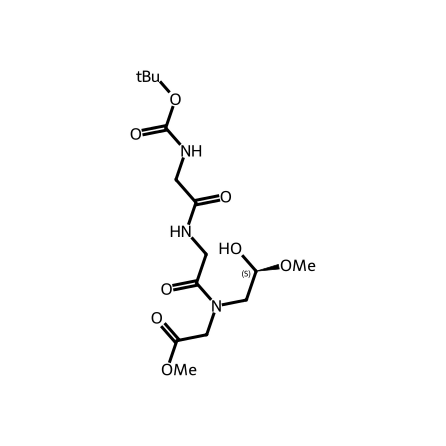 COC(=O)CN(C[C@@H](O)OC)C(=O)CNC(=O)CNC(=O)OC(C)(C)C